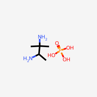 CC(N)C(C)(C)N.O=P(O)(O)O